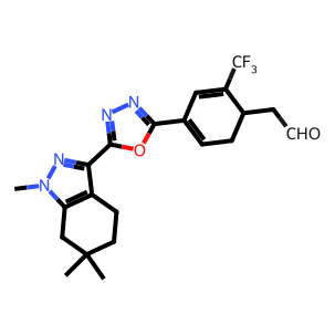 Cn1nc(-c2nnc(C3=CCC(CC=O)C(C(F)(F)F)=C3)o2)c2c1CC(C)(C)CC2